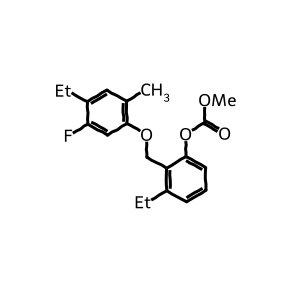 CCc1cc(C)c(OCc2c(CC)cccc2OC(=O)OC)cc1F